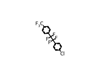 FC(F)(F)c1ccc(C(F)(F)C(F)(F)c2ccc(Cl)cc2)cc1